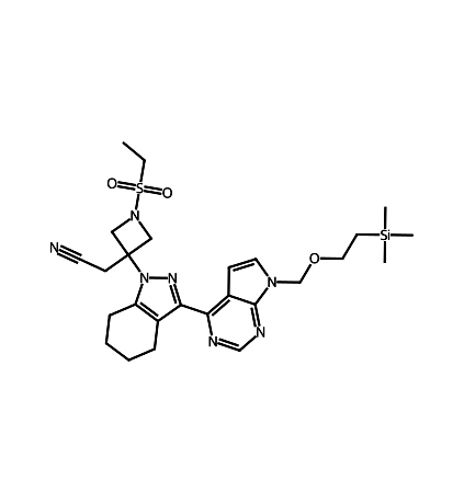 CCS(=O)(=O)N1CC(CC#N)(n2nc(-c3ncnc4c3ccn4COCC[Si](C)(C)C)c3c2CCCC3)C1